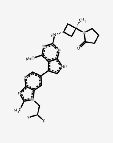 COc1nc(N[C@H]2C[C@](C)(N3CCCC3=O)C2)nc2[nH]cc(-c3cnc4nc(C)n(CC(F)F)c4c3)c12